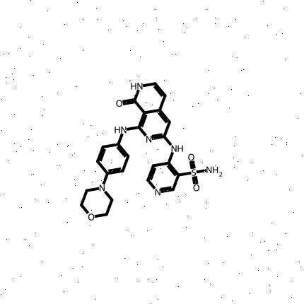 NS(=O)(=O)c1cnccc1Nc1cc2cc[nH]c(=O)c2c(Nc2ccc(N3CCOCC3)cc2)n1